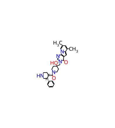 Cc1cc(C)c2cc3c(=O)n(CC4(O)CCN(C(=O)[C@@H]5CCNC[C@H]5c5ccccc5)CC4)cnc3n2c1